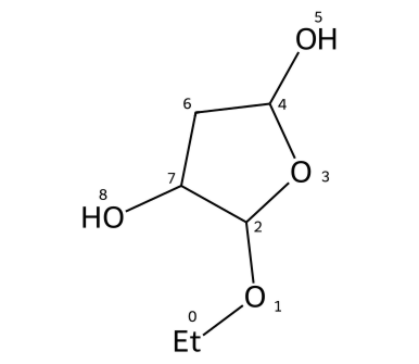 CCOC1OC(O)CC1O